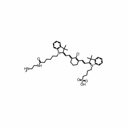 CNCCNC(=O)CCCCCN1/C(=C/C=C2\CCCC(/C=C/C3=[N+](CCCCS(=O)(=O)O)c4ccccc4C3(C)C)=C2Cl)C(C)(C)c2ccccc21